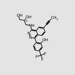 CC#Cc1ccc2c(-c3ccc(C(F)(F)F)cc3O)nnc(NC[C@H](O)CO)c2c1